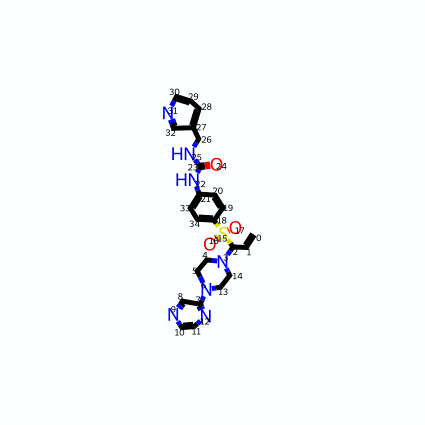 C=CC(N1CCN(c2cnccn2)CC1)S(=O)(=O)c1ccc(NC(=O)NCc2cccnc2)cc1